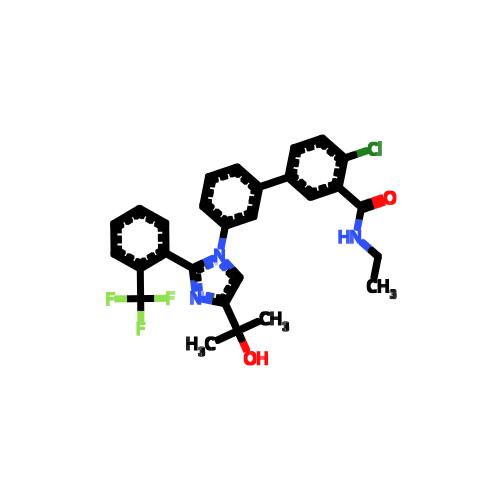 CCNC(=O)c1cc(-c2cccc(-n3cc(C(C)(C)O)nc3-c3ccccc3C(F)(F)F)c2)ccc1Cl